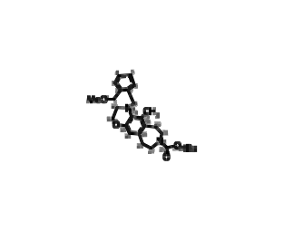 COCc1ccccc1CN1CCOc2cc3c(c(C)c21)CCN(C(=O)OC(C)(C)C)CC3